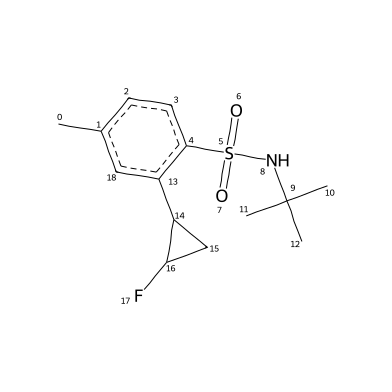 Cc1ccc(S(=O)(=O)NC(C)(C)C)c(C2CC2F)c1